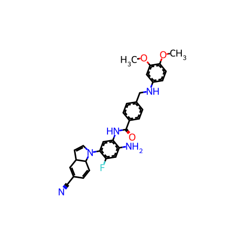 COc1ccc(NCc2ccc(C(=O)Nc3cc(N4C=CC5C=C(C#N)C=CC54)c(F)cc3N)cc2)cc1OC